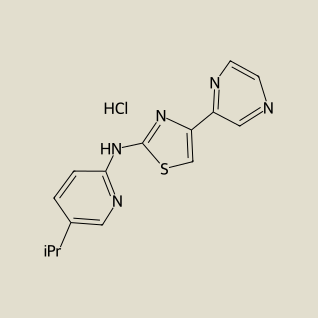 CC(C)c1ccc(Nc2nc(-c3cnccn3)cs2)nc1.Cl